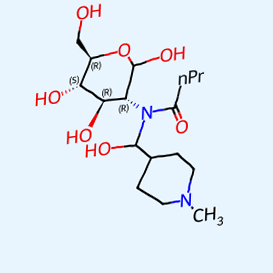 CCCC(=O)N(C(O)C1CCN(C)CC1)[C@H]1C(O)O[C@H](CO)[C@@H](O)[C@@H]1O